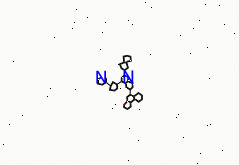 c1cncc(-c2cccc(-c3cc(-c4ccc5ccccc5c4)nc4ccc(-c5cc6ccccc6c6ccccc56)cc34)c2)c1